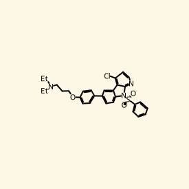 CCN(CC)CCCOc1ccc(-c2ccc3c(c2)c2c(Cl)ccnc2n3S(=O)(=O)c2ccccc2)cc1